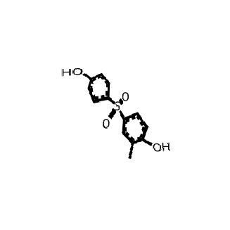 Cc1cc(S(=O)(=O)c2ccc(O)cc2)ccc1O